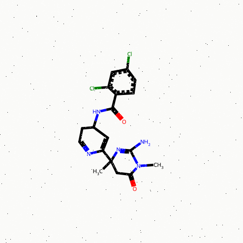 CN1C(=O)CC(C)(C2=CC(NC(=O)c3ccc(Cl)cc3Cl)CC=N2)N=C1N